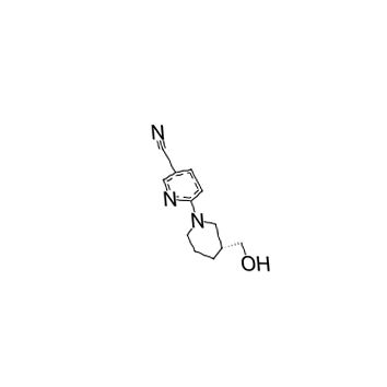 N#Cc1ccc(N2CCC[C@@H](CO)C2)nc1